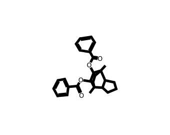 CC12CCC(C)(C3CCCC31)C(OC(=O)c1ccccc1)C2OC(=O)c1ccccc1